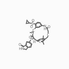 Cc1cc2cc(C)c1CCCC(=O)Nc1ccc(S(=O)(=O)C3CC3)c(c1)CN(C)C(=O)[C@@H]2Nc1ccc2c(c1)C(=O)NC2